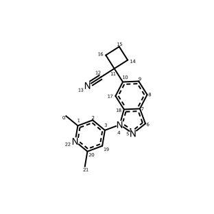 Cc1cc(-n2ncc3ccc(C4(C#N)CCC4)cc32)cc(C)n1